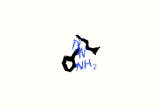 Cc1cc(C2CC2)nc(-c2ccccc2N)n1